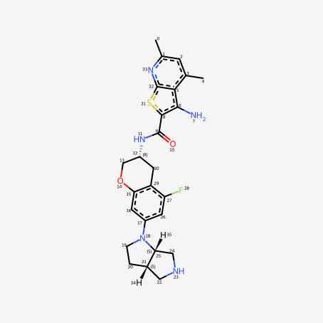 Cc1cc(C)c2c(N)c(C(=O)N[C@H]3COc4cc(N5CC[C@H]6CNC[C@H]65)cc(F)c4C3)sc2n1